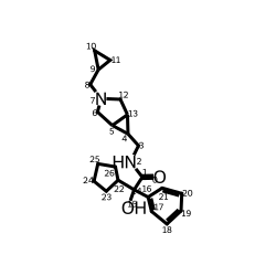 O=C(NCC1C2CN(CC3CC3)CC12)C(O)(c1ccccc1)C1CCCC1